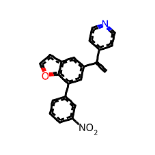 C=C(c1ccncc1)c1cc(-c2cccc([N+](=O)[O-])c2)c2occc2c1